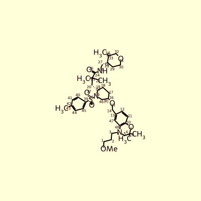 COCCCN1CC(C)(C)Oc2ccc(CO[C@@H]3CC[C@@H](CC(C)(C)C(=O)NC[C@H]4CCOC[C@@H]4C)N(S(=O)(=O)c4ccc(C)cc4)C3)cc21